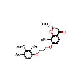 CCCc1c(OCCCOc2ccc3c(=O)cc(C(=O)O)oc3c2CCC)ccc(C(C)=O)c1OC